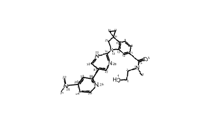 CN(CCO)C(=O)c1ccc2c(c1)N(c1ncc(-c3cc(N(C)C)ccn3)cn1)CC21CC1